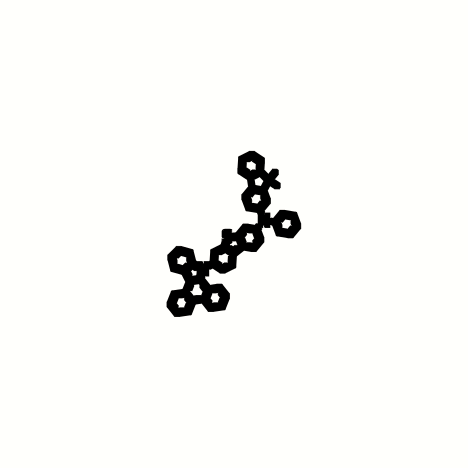 CC1(C)c2ccccc2-c2ccc(N(c3ccccc3)c3ccc4c(c3)sc3cc(-n5c6ccccc6c6c7ccccc7c7ccccc7c65)ccc34)cc21